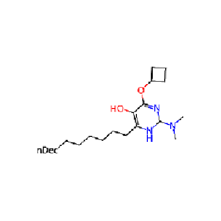 CCCCCCCCCCCCCCCCC1=C(O)C(OC2CCC2)=NC(N(C)C)N1